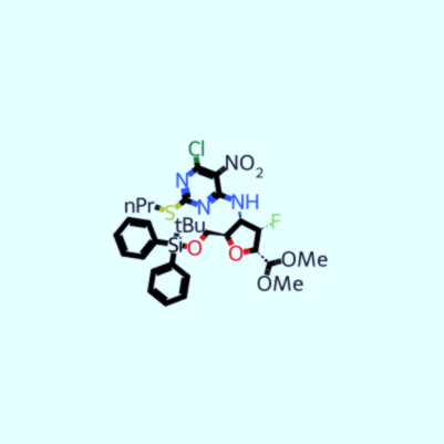 CCCSc1nc(Cl)c([N+](=O)[O-])c(N[C@@H]2[C@H](F)[C@H](C(OC)OC)O[C@H]2CO[Si](c2ccccc2)(c2ccccc2)C(C)(C)C)n1